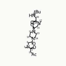 CC(=O)CC(=O)N(C)CC(=O)N1CCN(C(=O)CN(C)C(=O)CNC(C)(C)C)CC1